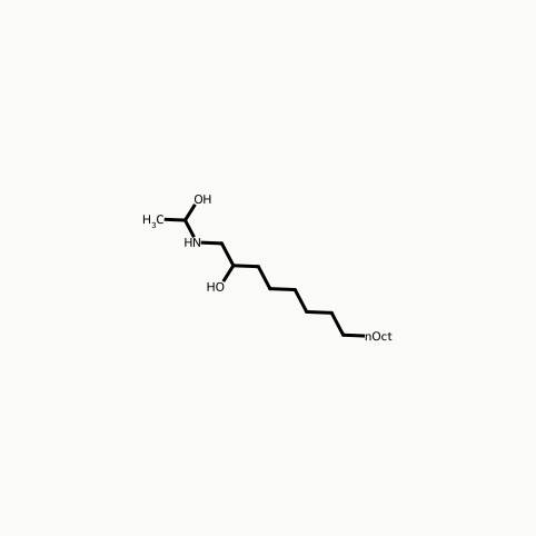 CCCCCCCCCCCCCCC(O)CNC(C)O